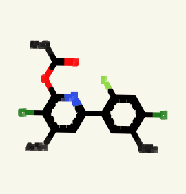 COC(=O)Oc1nc(-c2cc(OC)c(Cl)cc2F)cc(NC(C)=O)c1Cl